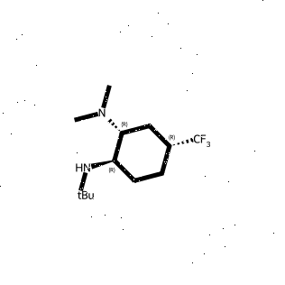 CN(C)[C@@H]1C[C@H](C(F)(F)F)CC[C@H]1NC(C)(C)C